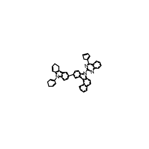 C1=CCC(c2nc(-n3c4ccc(-c5ccc6c(c5)c5c(n6C6=CCCC=C6)C=CCC5)cc4c4c5ccccc5ccc43)nc3ccccc23)=C1